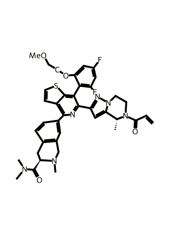 C=CC(=O)N1CCn2nc(-c3nc(-c4ccc5c(c4)CN(C)[C@@H](C(=O)N(C)C)C5)c4ccsc4c3-c3c(F)cc(F)cc3OCCOC)cc2[C@H]1C